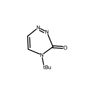 CC(C)(C)n1ccnnc1=O